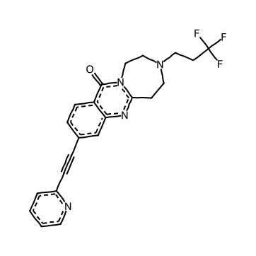 O=c1c2ccc(C#Cc3ccccn3)cc2nc2n1CCN(CCC(F)(F)F)CC2